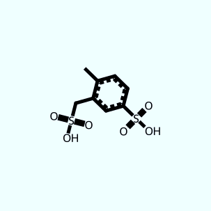 Cc1ccc(S(=O)(=O)O)cc1CS(=O)(=O)O